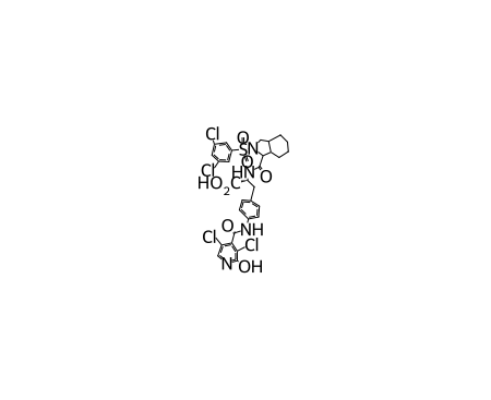 O=C(Nc1ccc(C[C@H](NC(=O)C2C3CCCCC3CN2S(=O)(=O)c2cc(Cl)cc(Cl)c2)C(=O)O)cc1)c1c(Cl)cnc(O)c1Cl